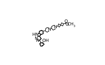 COC(=O)C1CC2(C1)CC(N1CCC(N3CCC(c4ccc5[nH]c6nnc(-c7ccccc7O)cc6c5c4)CC3)CC1)C2